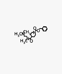 CN(C)CCN(C)C(=O)C1CCN(C(=O)OCc2ccccc2)CC1